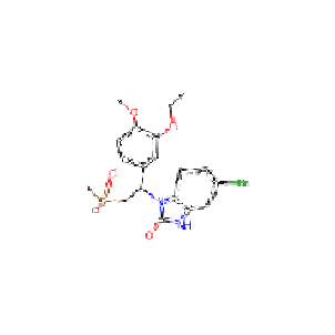 CCOc1cc(C(CS(C)(=O)=O)n2c(=O)[nH]c3cc(Br)ccc32)ccc1OC